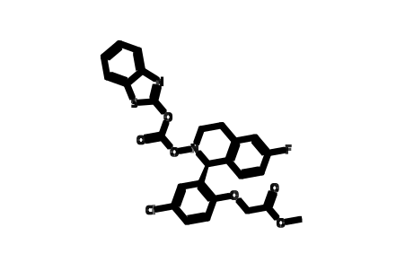 COC(=O)COc1ccc(Cl)cc1[C@@H]1c2ccc(F)cc2CCN1OC(=O)Oc1nc2ccccc2s1